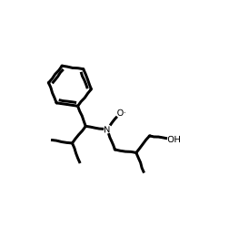 CC(CO)CN([O])C(c1ccccc1)C(C)C